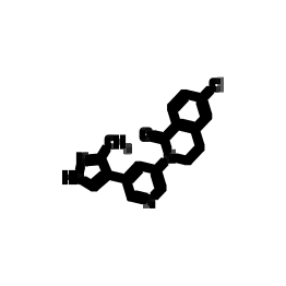 Cc1n[nH]cc1-c1cncc(N2CCc3cc(Cl)ccc3C2=O)c1